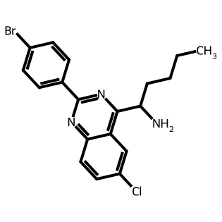 CCCCC(N)c1nc(-c2ccc(Br)cc2)nc2ccc(Cl)cc12